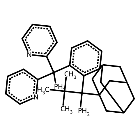 CC(C)(C)C(P)(c1ccccc1C(P)(c1ccccn1)c1ccccn1)C12CC3CC(CC(C3)C1)C2